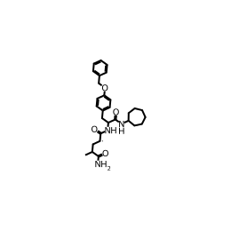 CC(C[CH]C(=O)NC(Cc1ccc(OCc2ccccc2)cc1)C(=O)NC1CCCCCC1)C(N)=O